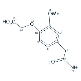 COc1cc(CC([NH])=O)ccc1OCC(=O)O